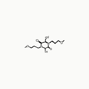 COCCCN1C(=O)C(S)N(CCCOC)C(=O)C1S